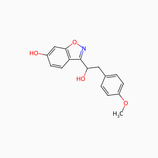 COc1ccc(CC(O)c2noc3cc(O)ccc23)cc1